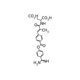 C/C(=C\c1ccc(C(=O)Oc2ccc(C(=N)N)cc2)cc1)C(=O)NC(CC(=O)O)C(=O)O